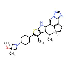 COC1(C)CN(C2CCC(c3sc4[nH]c(-c5cn6ncnc6c6c5CCC6)c(C(C)C)c4c3C)CC2)C1